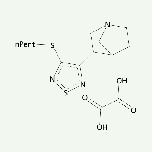 CCCCCSc1nsnc1C1CN2CCC1C2.O=C(O)C(=O)O